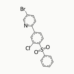 O=S(=O)(c1ccccc1)c1ccc(-c2ccc(Br)cn2)cc1Cl